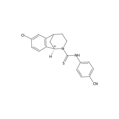 N#Cc1ccc(NC(=S)N2CCC3C[C@@H]2c2ccc(Cl)cc23)cc1